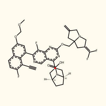 C#Cc1c(F)ccc2cc(OCOC)cc(-c3ncc4c(N5C[C@H]6CC[C@@H](C5)N6C(=O)O)nc(OCC56CC(=C)CN5CC(=C(F)F)C6)nc4c3F)c12